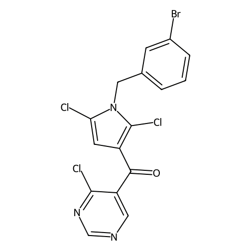 O=C(c1cncnc1Cl)c1cc(Cl)n(Cc2cccc(Br)c2)c1Cl